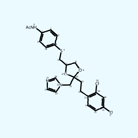 CC(=O)Nc1ccc(SCC2COC(CCc3ccc(Cl)cc3Cl)(Cn3ccnc3)O2)cc1